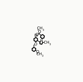 CCOC(=O)c1cccc(-n2c(C)ccc2-c2cc(Br)ccc2OCc2cccc(OC)c2)c1